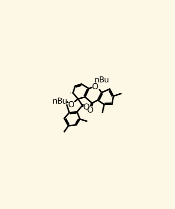 CCCCOC1=C(C(=O)c2c(C)cc(C)cc2C)C(OCCCC)(C(=O)c2c(C)cc(C)cc2C)[CH]C=C1